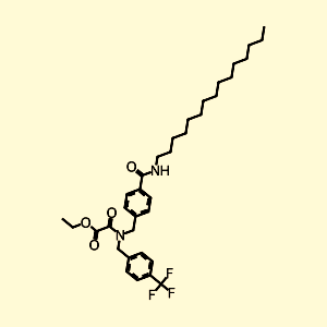 CCCCCCCCCCCCCCCNC(=O)c1ccc(CN(Cc2ccc(C(F)(F)F)cc2)C(=O)C(=O)OCC)cc1